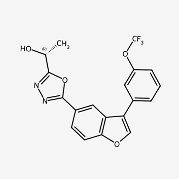 C[C@@H](O)c1nnc(-c2ccc3occ(-c4cccc(OC(F)(F)F)c4)c3c2)o1